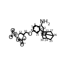 NCCC1(c2cccc(OCC(CO[N+](=O)[O-])O[N+](=O)[O-])c2)C2CC3CC(C2)CC1C3